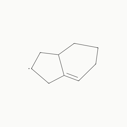 [CH]1CC2=CCCCC2C1